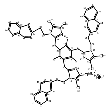 Br.Br.Br.Cc1c(Cc2nc(Cl)c(Cl)n2CCc2ccc3ccccc3c2)c(C)c(Cc2nc(Cl)c(Cl)n2CCc2ccc3ccccc3c2)c(C)c1Cc1nc(Cl)c(Cl)n1CCc1ccc2ccccc2c1